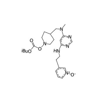 CC(C)COC(=O)ON1CCC(CN(C)c2cc(NCCc3ccc[n+]([O-])c3)ncn2)CC1